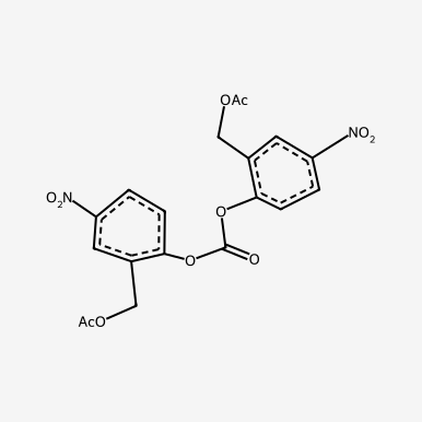 CC(=O)OCc1cc([N+](=O)[O-])ccc1OC(=O)Oc1ccc([N+](=O)[O-])cc1COC(C)=O